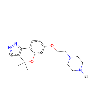 CCN1CCN(CCOc2ccc3c(c2)OC(C)(C)c2[se]nnc2-3)CC1